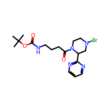 CC(C)(C)OC(=O)NCCCC(=O)N1CCN(Br)CC1c1ncccn1